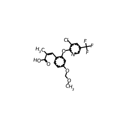 COCOc1ccc(/C=C(/C)C(=O)O)c(Oc2ncc(C(F)(F)F)cc2Cl)c1